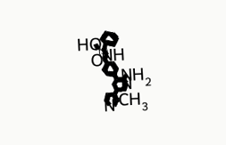 Cc1cnccc1C1C=NC(N)=C(c2ccc(C(=O)N[C@H](CO)c3cc#ccc3)cc2)C1